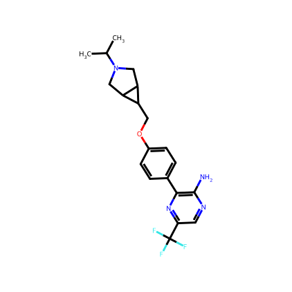 CC(C)N1CC2C(COc3ccc(-c4nc(C(F)(F)F)cnc4N)cc3)C2C1